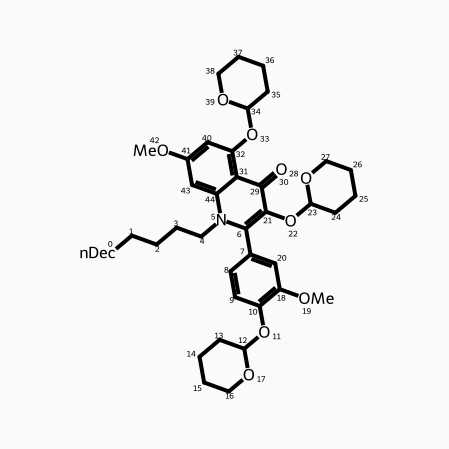 CCCCCCCCCCCCCCn1c(-c2ccc(OC3CCCCO3)c(OC)c2)c(OC2CCCCO2)c(=O)c2c(OC3CCCCO3)cc(OC)cc21